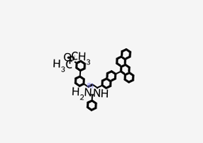 CP(C)(=O)c1cccc(-c2cccc(/C=C/C(NC(N)c3ccccc3)c3ccc4cc(-c5c6ccccc6cc6c5ccc5ccccc56)ccc4c3)c2)c1